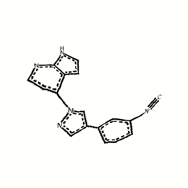 [C-]#[N+]c1cccc(-c2cnn(-c3ccnc4[nH]ccc34)c2)c1